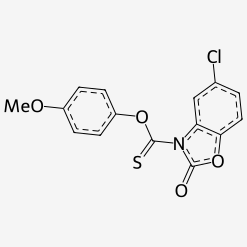 COc1ccc(OC(=S)n2c(=O)oc3ccc(Cl)cc32)cc1